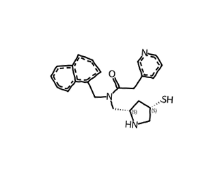 O=C(Cc1cccnc1)N(Cc1cccc2ccccc12)C[C@@H]1C[C@H](S)CN1